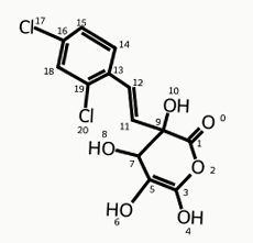 O=C1OC(O)=C(O)C(O)C1(O)C=Cc1ccc(Cl)cc1Cl